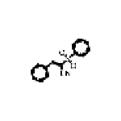 N#C/C(=C\c1ccccc1)S(=O)(=O)c1ccccc1